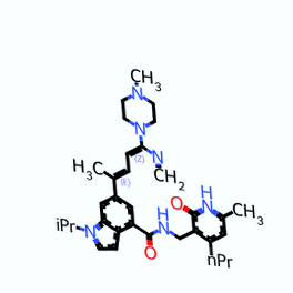 C=N/C(=C\C=C(/C)c1cc(C(=O)NCc2c(CCC)cc(C)[nH]c2=O)c2ccn(C(C)C)c2c1)N1CCN(C)CC1